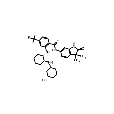 CC1(C)C(=O)Nc2cc(NC(=O)c3ccc(C(F)(F)F)cc3N[C@H]3CCCC[C@@H]3NC3CCCCC3)ccc21.Cl